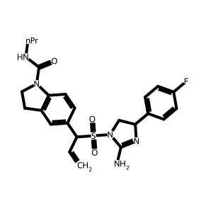 C=CC(c1ccc2c(c1)CCN2C(=O)NCCC)S(=O)(=O)N1CC(c2ccc(F)cc2)N=C1N